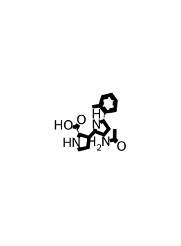 CC(N)=O.Cc1ccccc1[C@@H]1CCC(C2CCN[C@@H]2C(=O)O)N1